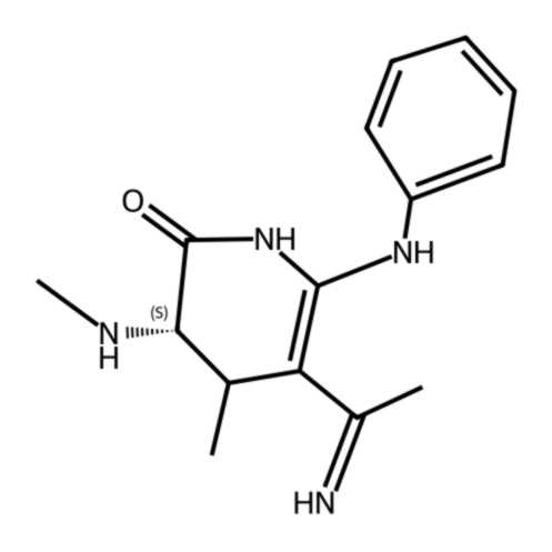 CN[C@@H]1C(=O)NC(Nc2ccccc2)=C(C(C)=N)C1C